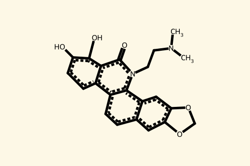 CN(C)CCn1c(=O)c2c(O)c(O)ccc2c2ccc3cc4c(cc3c21)OCO4